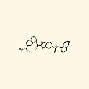 CC(C)c1ccc(N)c(NC(=O)c2nc3c(s2)CN(C(=O)Nc2cccc4cnccc24)CC3)c1